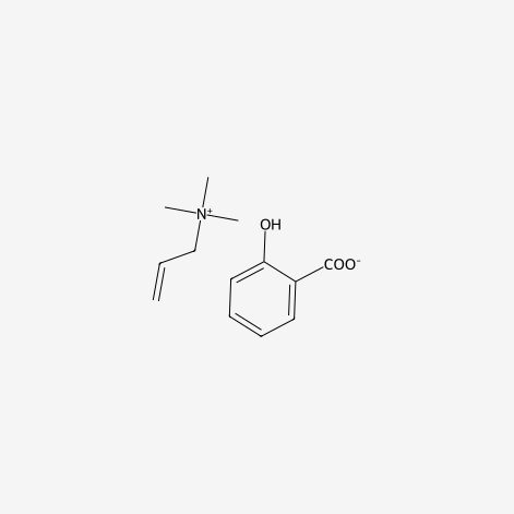 C=CC[N+](C)(C)C.O=C([O-])c1ccccc1O